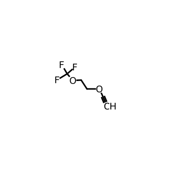 C#COCCOC(F)(F)F